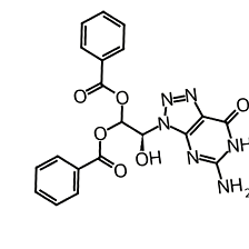 Nc1nc2c(nnn2[C@@H](O)C(OC(=O)c2ccccc2)OC(=O)c2ccccc2)c(=O)[nH]1